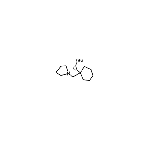 CC(C)(C)OC1(CN2CCCC2)CCCCC1